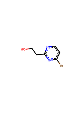 OCCc1nccc(Br)n1